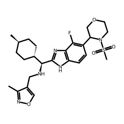 Cc1nocc1CN[C@H](c1nc2c(F)c(C3COCCN3S(C)(=O)=O)ccc2[nH]1)[C@H]1CC[C@H](C)CC1